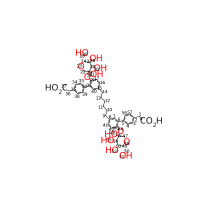 O=C(O)Cc1ccc(-c2cc(CCCCCCc3ccc(O[C@]4(O)CO[C@H](CO)[C@@H](O)[C@@H]4O)c(-c4ccc(CC(=O)O)cc4)c3)ccc2O[C@]2(O)CO[C@H](CO)[C@@H](O)[C@@H]2O)cc1